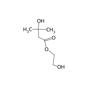 CC(C)(O)CC(=O)OCCO